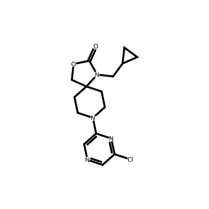 O=C1OCC2(CCN(c3cncc(Cl)n3)CC2)N1CC1CC1